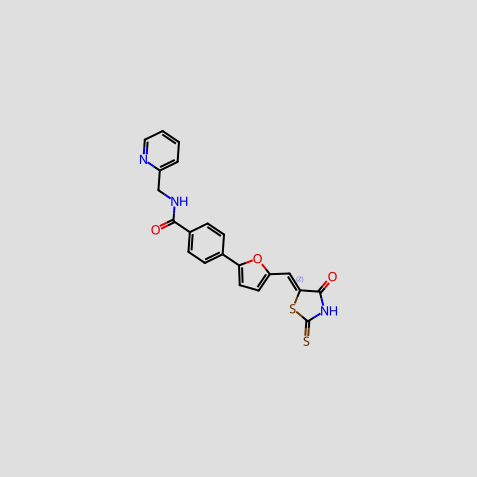 O=C1NC(=S)S/C1=C\c1ccc(-c2ccc(C(=O)NCc3ccccn3)cc2)o1